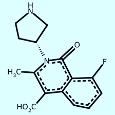 Cc1c(C(=O)O)c2cccc(F)c2c(=O)n1[C@@H]1CCNC1